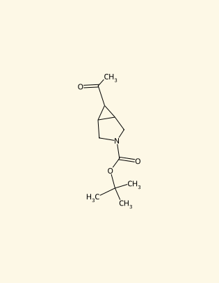 CC(=O)C1C2CN(C(=O)OC(C)(C)C)CC21